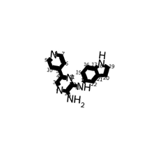 Nc1ncc(-c2ccncc2)nc1Nc1ccc2[nH]ccc2c1